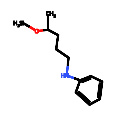 CC(CCCNc1ccccc1)O[SiH3]